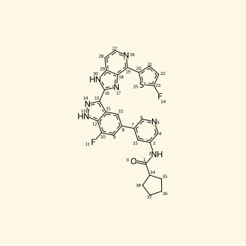 O=C(Nc1cncc(-c2cc(F)c3[nH]nc(-c4nc5c(-c6ccc(F)s6)nccc5[nH]4)c3c2)c1)C1CCCC1